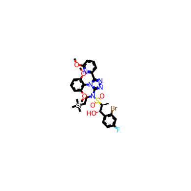 COc1cccc(-c2nnc(N(CC[Si](C)(C)C)S(=O)(=O)[C@@H](C)[C@@H](O)c3ccc(F)cc3Br)n2-c2c(OC)cccc2OC)n1